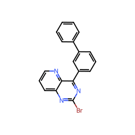 Brc1nc(-c2cccc(-c3ccccc3)c2)c2ncccc2n1